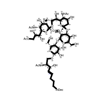 CCCCCCCCCCCCC/C=C/[C@@H](O)[C@H](CO[C@@H]1O[C@H](CO)[C@@H](O[C@@H]2O[C@H](CO)[C@H](O)[C@H](O[C@]3(C(=O)O)C[C@H](O)[C@@H](NC(C)=O)[C@H]([C@H](O)[C@@H](CO)O[C@]4(C(=O)O)C[C@H](O)[C@@H](NC(C)=O)[C@H]([C@H](O)[C@H](O)COC(C)=O)O4)O3)[C@H]2O)[C@H](O)[C@H]1O)NC(C)=O